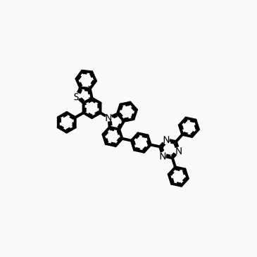 c1ccc(-c2nc(-c3ccccc3)nc(-c3ccc(-c4cccc5c4c4ccccc4n5-c4cc(-c5ccccc5)c5sc6ccccc6c5c4)cc3)n2)cc1